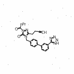 C#CCCc1nn(C(=O)CCC)c(=O)n1Cc1ccc(-c2cccc(-c3nnn[nH]3)c2)cc1